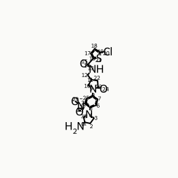 NC1CCN(c2ccc(N3CC(CNC(=O)c4ccc(Cl)s4)CC3=O)cc2[N+](=O)[O-])C1